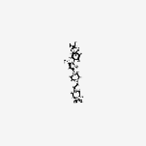 CC(C)c1cc(N2CCN(CCN3CCS(=O)(=O)CC3)CC2)nn1-c1ccc2c(c1)OC(F)(F)O2